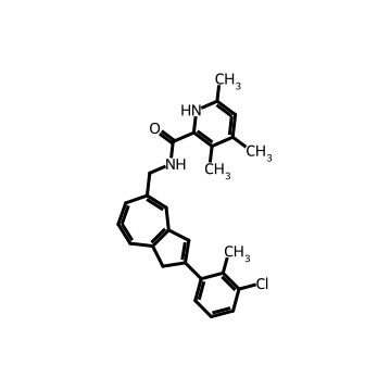 CC1=C=C(C)C(C)=C(C(=O)NCC2=CC3=C(C=C=C2)CC(c2cccc(Cl)c2C)=C3)N1